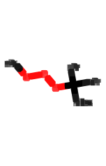 CCCCCCC(CCC)(CCC)OOOCCC